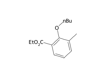 CCCCOc1c(C)cccc1C(=O)OCC